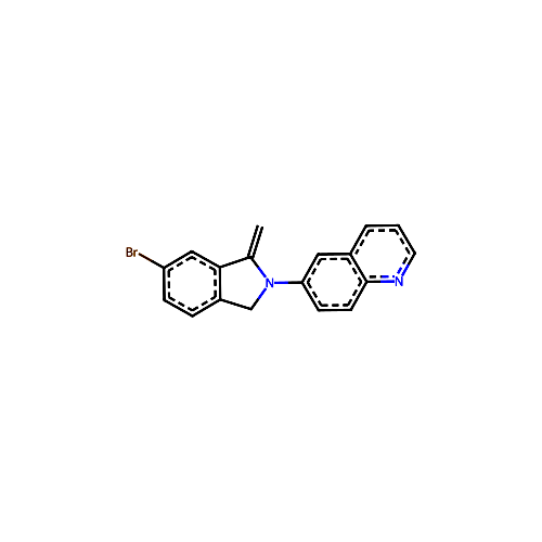 C=C1c2cc(Br)ccc2CN1c1ccc2ncccc2c1